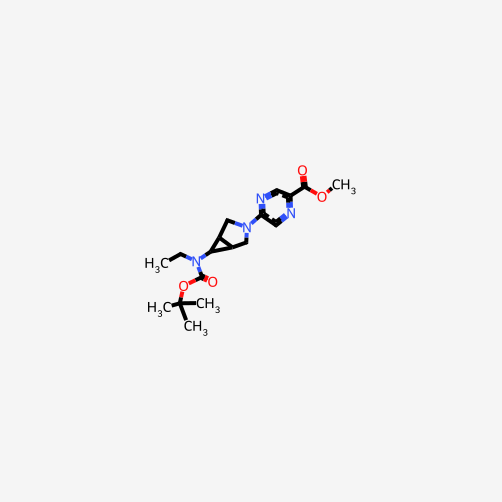 CCN(C(=O)OC(C)(C)C)C1C2CN(c3cnc(C(=O)OC)cn3)CC21